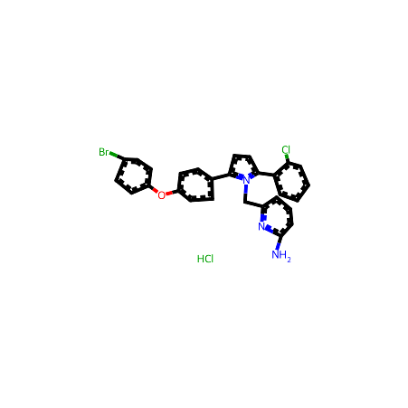 Cl.Nc1cccc(Cn2c(-c3ccc(Oc4ccc(Br)cc4)cc3)ccc2-c2ccccc2Cl)n1